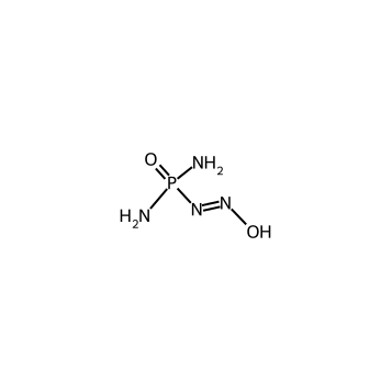 NP(N)(=O)N=NO